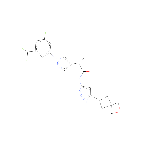 C[C@@H](C(=O)Nc1cc(C2CC3(COC3)C2)[nH]n1)c1cnn(-c2cc(F)cc(C(F)F)c2)c1